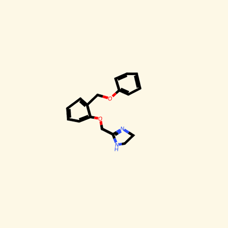 c1ccc(OCc2ccccc2OCC2=NCCN2)cc1